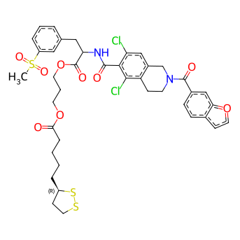 CS(=O)(=O)c1cccc(CC(NC(=O)c2c(Cl)cc3c(c2Cl)CCN(C(=O)c2ccc4ccoc4c2)C3)C(=O)OCCCOC(=O)CCCC[C@@H]2CCSS2)c1